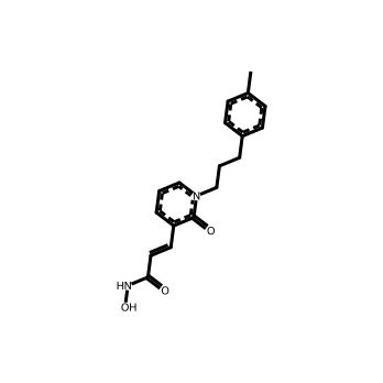 Cc1ccc(CCCn2cccc(/C=C/C(=O)NO)c2=O)cc1